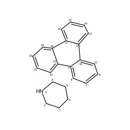 C1CCNCC1.c1ccc2c(c1)c1ccccc1c1ccccc21